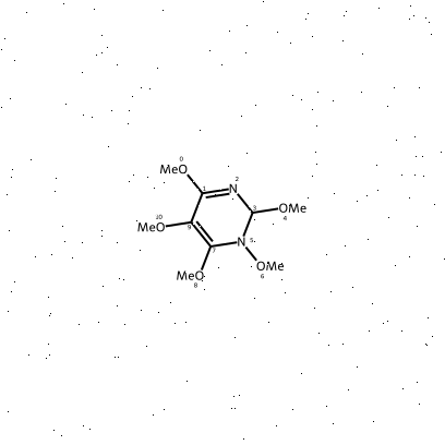 COC1=NC(OC)N(OC)C(OC)=C1OC